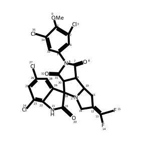 COc1c(Cl)cc(N2C(=O)C3C4CC(=C(F)F)CN4C4(C(=O)Nc5c(Cl)cc(Cl)cc54)C3C2=O)cc1Cl